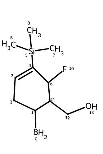 BC1CC=C([Si](C)(C)C)C(F)C1CO